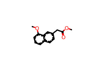 COC(=O)Cc1ccc2cccc(OC)c2c1